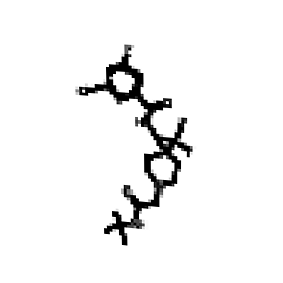 CC(C)(C)NC(=O)CN1CCC2(CC1)C(NC(=O)c1cc(F)cc(Cl)c1)C2(F)F